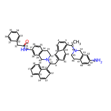 CC(c1cccc2cc(CC(c3cccc4ccccc34)N3CCc4ccc(NC(=O)Cc5ccccc5)cc4C3)ccc12)N1CCc2ccc(N)cc2C1